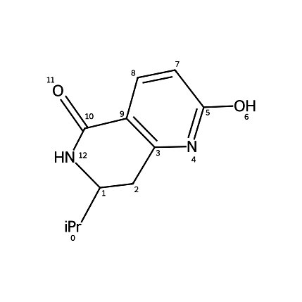 CC(C)C1Cc2nc(O)ccc2C(=O)N1